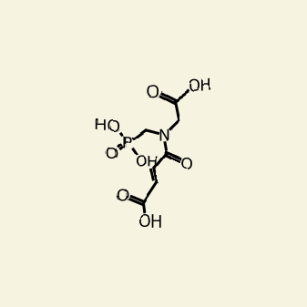 O=C(O)C=CC(=O)N(CC(=O)O)CP(=O)(O)O